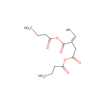 CCCC=C(CC(=O)OC(=O)CCC(=O)O)C(=O)OC(=O)CCC(=O)O